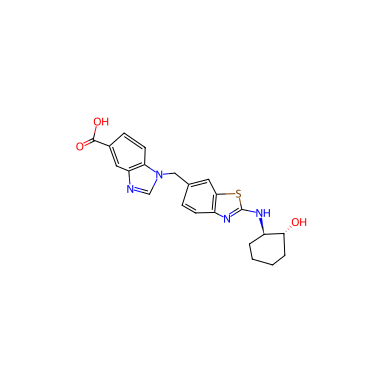 O=C(O)c1ccc2c(c1)ncn2Cc1ccc2nc(N[C@@H]3CCCC[C@H]3O)sc2c1